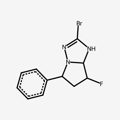 FC1CC(c2ccccc2)N2N=C(Br)NC12